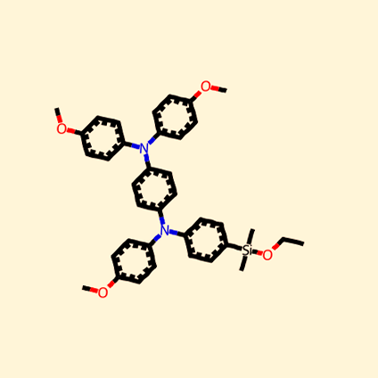 CCO[Si](C)(C)c1ccc(N(c2ccc(OC)cc2)c2ccc(N(c3ccc(OC)cc3)c3ccc(OC)cc3)cc2)cc1